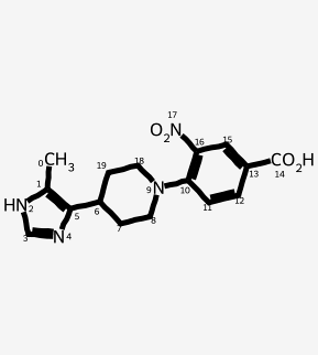 Cc1[nH]cnc1C1CCN(c2ccc(C(=O)O)cc2[N+](=O)[O-])CC1